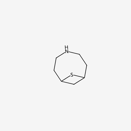 C1CC2CC(CCN1)S2